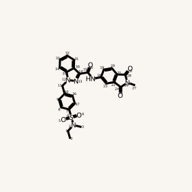 CCN(C)S(=O)(=O)c1ccc(Cn2nc(C(=O)Nc3ccc4c(c3)C(=O)N(C)C4=O)c3ccccc32)cc1